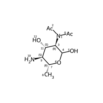 CC(=O)N(C(C)=O)[C@H]1C(O)O[C@H](C)[C@@H](N)[C@@H]1O